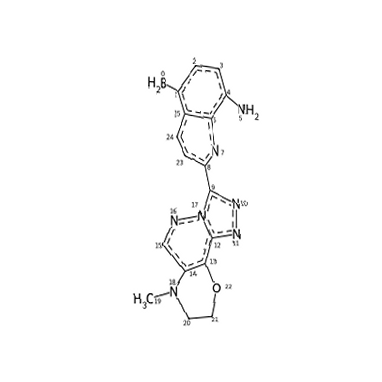 Bc1ccc(N)c2nc(-c3nnc4c5c(cnn34)N(C)CCO5)ccc12